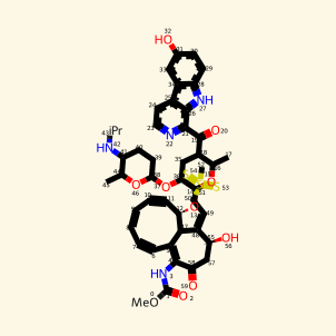 COC(=O)NC1=C2C#C/C=C\C#C[C@H](OC3OC(C)C(C(=O)c4nccc5c4[nH]c4ccc(O)cc45)CC3OC3CCC(NC(C)C)C(C)O3)C2/C(=C\CS(C)(=S)=S)[C@@H](O)CC1=O